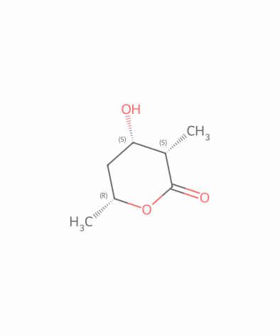 C[C@@H]1C[C@H](O)[C@H](C)C(=O)O1